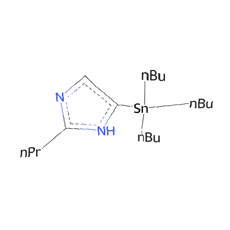 CCC[CH2][Sn]([CH2]CCC)([CH2]CCC)[c]1cnc(CCC)[nH]1